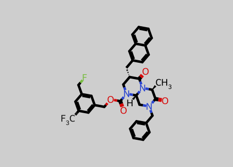 C[C@H]1C(=O)N(Cc2ccccc2)C[C@@H]2N(C(=O)OCc3cc(CF)cc(C(F)(F)F)c3)C[C@H](Cc3ccc4ccccc4c3)C(=O)N21